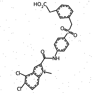 Cn1c(C(=O)Nc2ccc(S(=O)(=O)Cc3cccc(CC(=O)O)c3)cc2)cc2c(Cl)c(Cl)ccc21